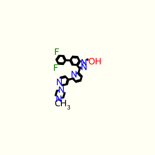 CN1CCN(c2cc(-c3cccc(-c4nn(CO)c5ccc(-c6cc(F)cc(F)c6)cc45)n3)ccn2)CC1